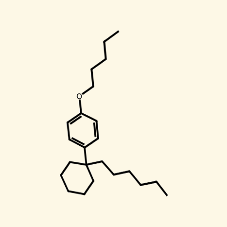 CCCCCCC1(c2ccc(OCCCCC)cc2)CCCCC1